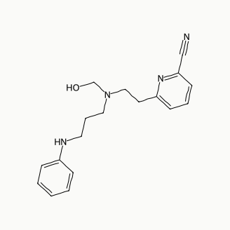 N#Cc1cccc(CCN(CO)CCCNc2ccccc2)n1